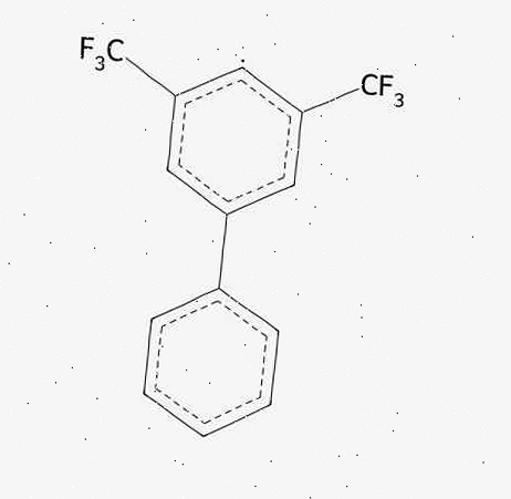 FC(F)(F)c1[c]c(C(F)(F)F)cc(-c2ccccc2)c1